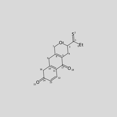 CCC(=S)C1CC2=C(CO1)CC1=C(C=CC(=O)C1)C2=O